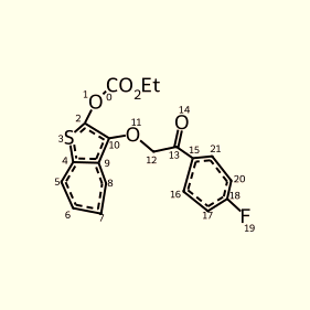 CCOC(=O)Oc1sc2ccccc2c1OCC(=O)c1ccc(F)cc1